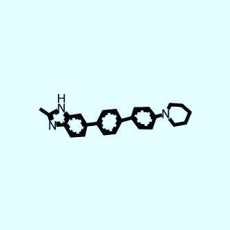 Cc1nc2ccc(-c3ccc(-c4ccc(N5CCCCC5)cc4)cc3)cc2[nH]1